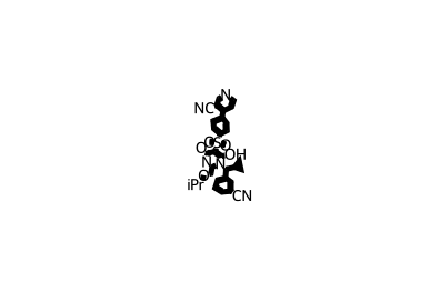 CC(C)OCc1nc(=O)c(S(=O)(=O)c2ccc(-c3ccncc3C#N)cc2)c(O)n1C(c1cccc(C#N)c1)C1CC1